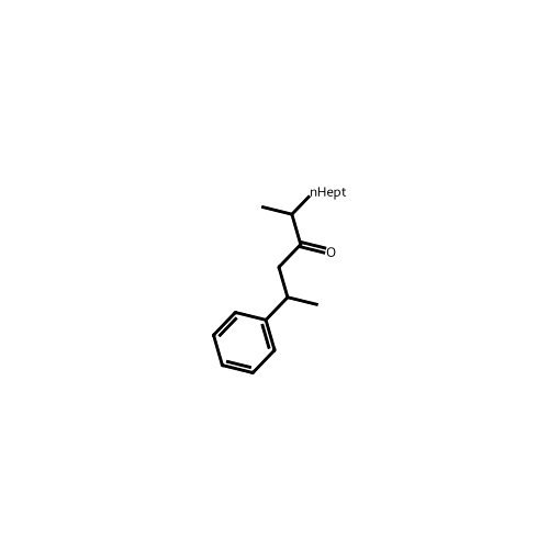 CCCCCCCC(C)C(=O)CC(C)c1ccccc1